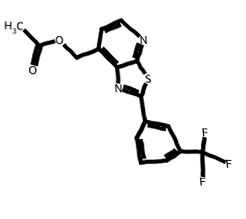 CC(=O)OCc1ccnc2sc(-c3cccc(C(F)(F)F)c3)nc12